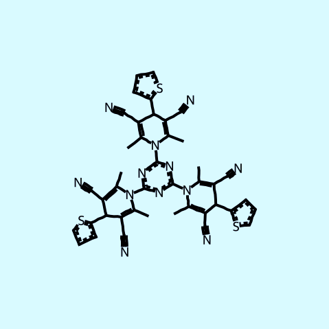 CC1=C(C#N)C(c2cccs2)C(C#N)=C(C)N1c1nc(N2C(C)=C(C#N)C(c3cccs3)C(C#N)=C2C)nc(N2C(C)=C(C#N)C(c3cccs3)C(C#N)=C2C)n1